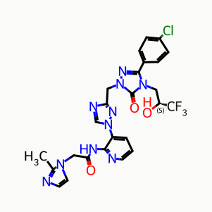 Cc1nccn1CC(=O)Nc1ncccc1-n1cnc(Cn2nc(-c3ccc(Cl)cc3)n(C[C@H](O)C(F)(F)F)c2=O)n1